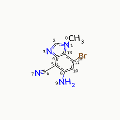 Cn1cnc2c(C#N)c(N)cc(Br)c21